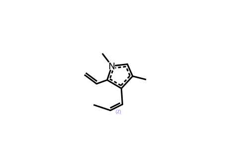 C=Cc1c(/C=C\C)c(C)cn1C